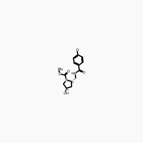 CC(C)(C)OC(=O)N1C[C@H](O)C[C@H]1CNC(=O)c1ccc(Cl)cc1